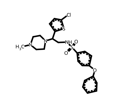 CN1CCN(C(CNS(=O)(=O)c2ccc(Oc3ccccc3)cc2)c2ccc(Cl)s2)CC1